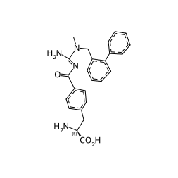 CN(Cc1ccccc1-c1ccccc1)C(N)=NC(=O)c1ccc(C[C@H](N)C(=O)O)cc1